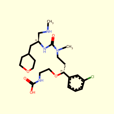 CNC[C@H](CC1CCOCC1)NC(=O)N(C)CC[C@@H](OCCNC(=O)O)c1cccc(Cl)c1